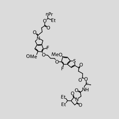 CCCC(CC)OC(=O)CCC(=O)N1Cc2cc(OC)c(OCCCOc3c(OC)cc4sc(C(=O)CCC(=O)O[C@@H](C)CNC(=O)CN5C(=O)CC(C(CC)CC)C5=O)cc4c3F)c(F)c2C1